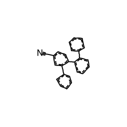 N#Cc1ccc(-c2ccccc2-c2ccccc2)c(-c2ccccc2)c1